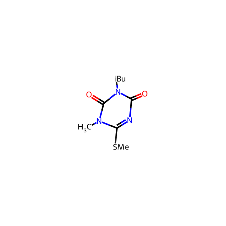 CCC(C)n1c(=O)nc(SC)n(C)c1=O